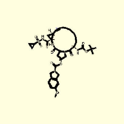 COc1ccc2c(c1)CN(C(=O)O[C@@H]1CC3C(=O)N[C@]4(C(=O)NS(=O)(=O)C5CC5)C[C@H]4/C=C\CCCCC[C@H](NC(=O)OC(C)(C)C)C(=O)N3C1)C2